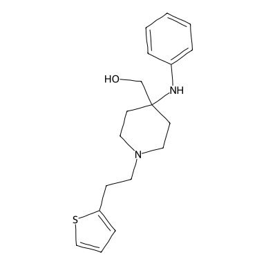 OCC1(Nc2ccccc2)CCN(CCc2cccs2)CC1